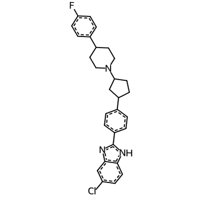 Fc1ccc(C2CCN(C3CCC(c4ccc(-c5nc6cc(Cl)ccc6[nH]5)cc4)C3)CC2)cc1